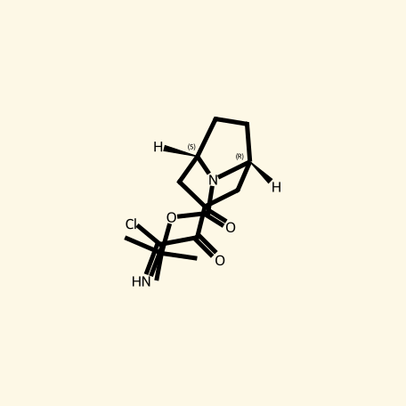 CC(C)(C)OC(=O)N1[C@@H]2CC[C@H]1CC(C(=O)C(=N)Cl)C2